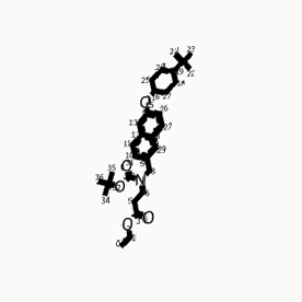 CCOC(=O)CCN(Cc1ccc2cc(OC3CCC(C(C)(C)C)CC3)ccc2c1)C(=O)OC(C)(C)C